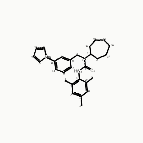 Cc1cc(C)c(NC(=O)N(Cc2cccc(-n3cccc3)c2)C2CCCCCC2)c(C)c1